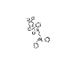 O=C1N(CCCN(Cc2ccccc2)Cc2ccccc2)c2ccccc2C12COc1cc3c(cc12)OCO3